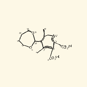 Cc1nc(C(=O)O)c(C(=O)O)c(C)c1C1OCCCCO1